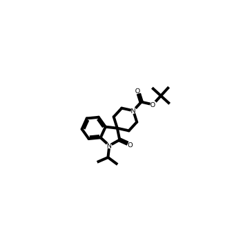 CC(C)N1C(=O)C2(CCN(C(=O)OC(C)(C)C)CC2)c2ccccc21